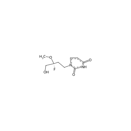 CO[C@](F)(CO)CCn1ccc(=O)[nH]c1=O